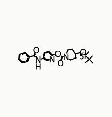 CC(C)(C)[Si](C)(C)OC1CCN(C(=O)Oc2ccc(NC(=O)c3ccccc3)cn2)CC1